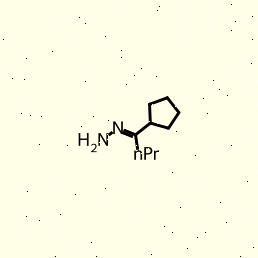 CCC/C(=N\N)C1CCCC1